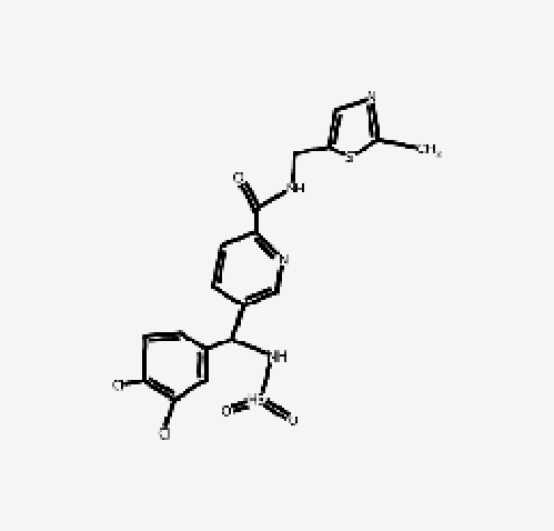 Cc1ncc(CNC(=O)c2ccc(C(N[SH](=O)=O)c3ccc(Cl)c(Cl)c3)cn2)s1